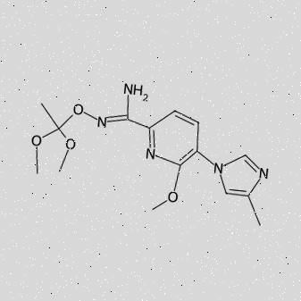 COc1nc(C(N)=NOC(C)(OC)OC)ccc1-n1cnc(C)c1